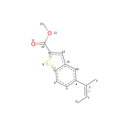 C/C=C(/C)c1ccc2sc(C(=O)OC)cc2c1